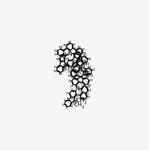 CC1(C)c2ccccc2-c2ccc(N(c3cccc4c3-c3ccccc3C43c4ccccc4N(c4ccc(-c5cccc(-c6cccc(-c7ccccc7)c6N6c7ccc8c(c7)C(C)(c7ccc9c(c7)C7(c%10ccccc%10N(c%10ccccc%10)c%10ccccc%107)c7cccc6c7-9)c6ccccc6-8)c5)cc4)c4ccccc43)c3cccc4ccccc34)cc21